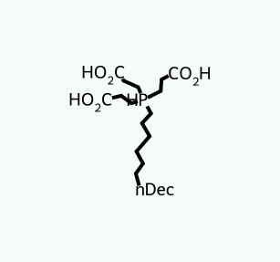 CCCCCCCCCCCCCCCC[PH](CCC(=O)O)(CCC(=O)O)CCC(=O)O